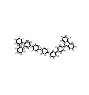 c1cc(-c2ccc(-c3ccc(-c4cnc5c6ccccc6c6ccccc6c5n4)cc3)cc2)cc(-c2ccc(-n3c4ccccc4c4ccccc43)cc2)c1